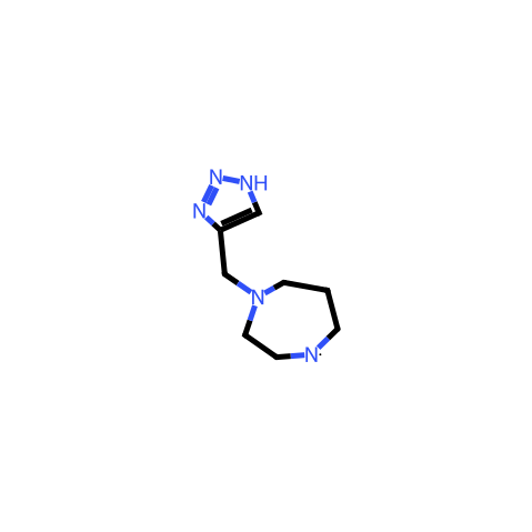 c1[nH]nnc1CN1CCC[N]CC1